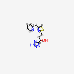 OC(CCc1nc(Cc2ccccn2)cs1)c1nn[nH]n1